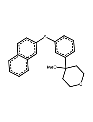 COC1(c2cccc(Sc3ccc4ccccc4c3)c2)CCOCC1